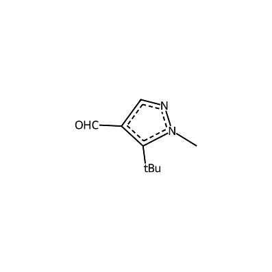 Cn1ncc(C=O)c1C(C)(C)C